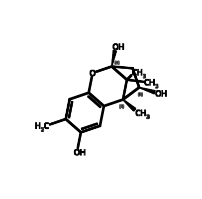 Cc1cc2c(cc1O)[C@@]1(C)[C@H](O)C[C@@](O)(O2)C1(C)C